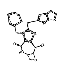 CCN1c2nc(Cc3cn4ccsc4n3)n(Cc3ccccc3)c2C(=O)NC2COC21